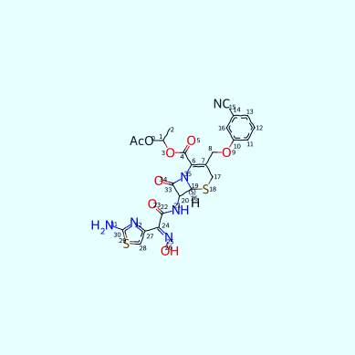 CC(=O)OC(C)OC(=O)C1=C(COc2cccc(C#N)c2)CS[C@H]2C(NC(=O)C(=NO)c3csc(N)n3)C(=O)N12